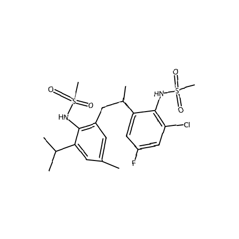 Cc1cc(CC(C)c2cc(F)cc(Cl)c2NS(C)(=O)=O)c(NS(C)(=O)=O)c(C(C)C)c1